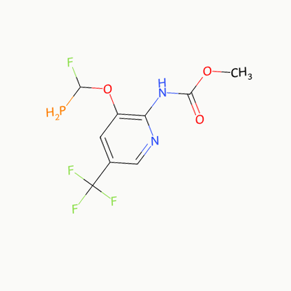 COC(=O)Nc1ncc(C(F)(F)F)cc1OC(F)P